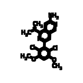 COc1cc(OC)c(Cl)c(-c2cc3cnc(N)cc3c(N(C)C)n2)c1Cl